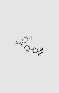 CS(=O)(=O)c1ccc(-c2ccc(CN(C3CCNCC3)C3CC3)cn2)cc1